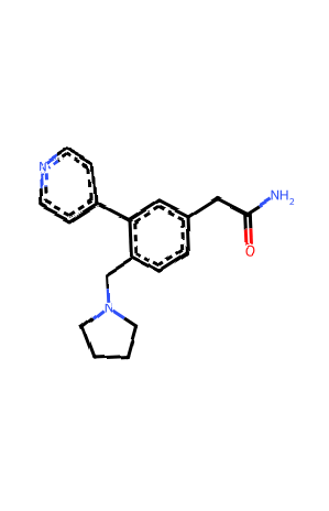 NC(=O)Cc1ccc(CN2CCCC2)c(-c2ccncc2)c1